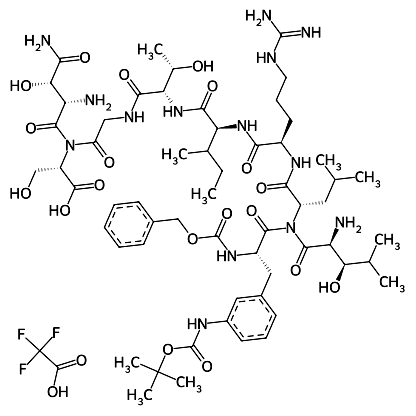 CCC(C)[C@H](NC(=O)[C@@H](CCCNC(=N)N)NC(=O)[C@H](CC(C)C)N(C(=O)[C@H](Cc1cccc(NC(=O)OC(C)(C)C)c1)NC(=O)OCc1ccccc1)C(=O)[C@@H](N)[C@H](O)C(C)C)C(=O)N[C@H](C(=O)NCC(=O)N(C(=O)[C@@H](N)[C@H](O)C(N)=O)[C@@H](CO)C(=O)O)[C@H](C)O.O=C(O)C(F)(F)F